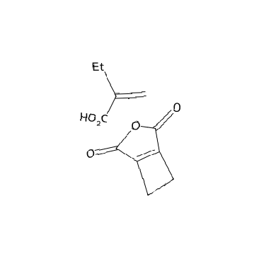 C=C(CC)C(=O)O.O=C1OC(=O)C2=C1CC2